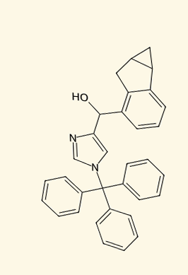 OC(c1cn(C(c2ccccc2)(c2ccccc2)c2ccccc2)cn1)c1cccc2c1CC1CC21